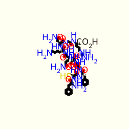 N=C(N)NCCC[C@H](NC(=O)CNC(=O)[C@H](CC(N)=O)NC(=O)[C@H](CCCCN)NC(=O)[C@H](CCC(N)=O)NC(=O)[C@H](CO)NC(=O)CNC(=O)[C@H](Cc1ccccc1)NC(=O)[C@H](CS)NC(=O)[C@@H](N)Cc1ccccc1)C(=O)O